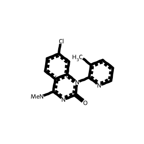 CNc1nc(=O)n(-c2ncccc2C)c2cc(Cl)ccc12